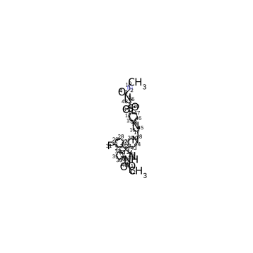 C/C=C/C(=O)N1CC(S(=O)(=O)c2ccc(N3CC(CN4CCC(C(C#N)(c5cccc(F)c5)[C@H]5CCC[C@@H]5NC(=O)OC)CC4)C3)cc2)C1